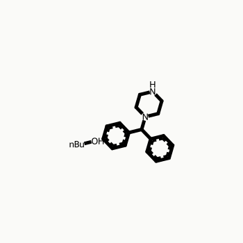 CCCCO.c1ccc(C(c2ccccc2)N2CCNCC2)cc1